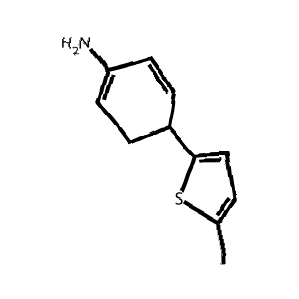 Cc1ccc(C2C=CC(N)=CC2)s1